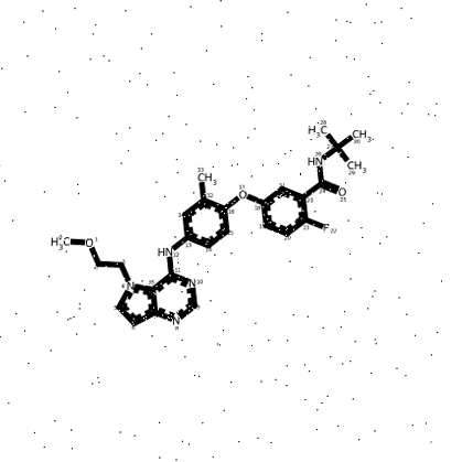 COCCn1ccc2ncnc(Nc3ccc(Oc4ccc(F)c(C(=O)NC(C)(C)C)c4)c(C)c3)c21